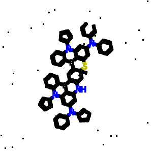 C/C=C\C(=C/C)N(c1ccccc1)c1cc2c3c(c1)N(C1=CC=C=C1)c1ccccc1B3C1=CC3=C(CC1(C)S2)Nc1cc(N(C2=CCC=C2)c2ccccc2)cc2c1B3c1ccccc1N2C1=CC=C=C1